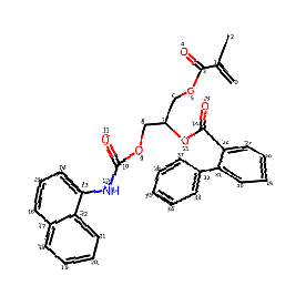 C=C(C)C(=O)OCC(COC(=O)Nc1cccc2ccccc12)OC(=O)c1ccccc1-c1ccccc1